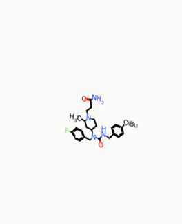 CC(C)COc1ccc(CNC(=O)N(Cc2ccc(F)cc2)C2CCN(CCC(N)=O)C(C)C2)cc1